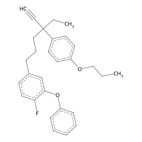 C#CC(CC)(CCCc1ccc(F)c(Oc2ccccc2)c1)c1ccc(OCCC)cc1